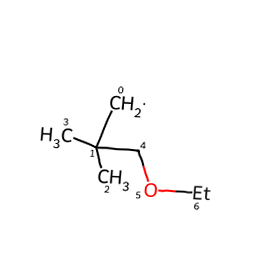 [CH2]C(C)(C)COCC